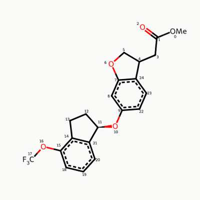 COC(=O)CC1COc2cc(O[C@@H]3CCc4c(OC(F)(F)F)cccc43)ccc21